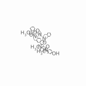 COc1ccccc1OC(=O)N1CCc2cc(-c3cc(C(=O)N(C)c4ccc(O)cc4)c(C)n3C)c(C(=O)N3Cc4ccccc4C[C@H]3CN3CCOCC3)cc2C1